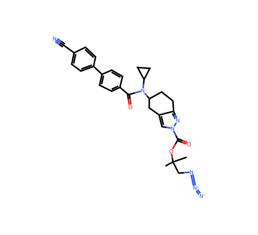 CC(C)(CN=[N+]=[N-])OC(=O)n1cc2c(n1)CCC(N(C(=O)c1ccc(-c3ccc(C#N)cc3)cc1)C1CC1)C2